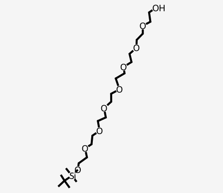 CC(C)(C)[Si](C)(C)OCCOCCOCCOCCOCCOCCOCCOCCO